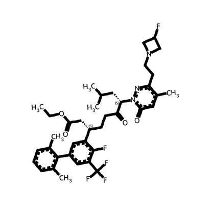 CCOC(=O)C[C@H](CCC(=O)[C@H](CC(C)C)n1nc(CCN2CC(F)C2)c(C)cc1=O)c1cc(-c2c(C)cccc2C)cc(C(F)(F)F)c1F